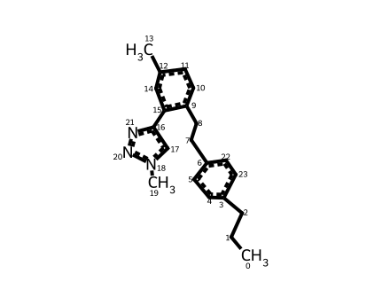 CCCc1ccc(CCc2ccc(C)cc2-c2cn(C)nn2)cc1